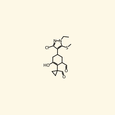 CCn1nc(Cl)c(C2CC(O)=C(C3(C=O)CC3)C(C=O)C2)c1SC